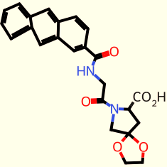 O=C(NCC(=O)N1CC2(CC1C(=O)O)OCCO2)c1ccc2cc3ccccc3cc2c1